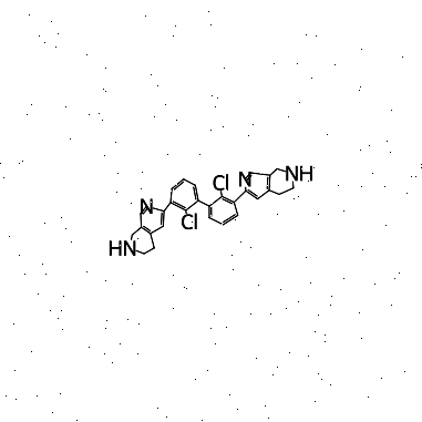 Clc1c(-c2cc3c(cn2)CNCC3)cccc1-c1cccc(-c2cc3c(cn2)CNCC3)c1Cl